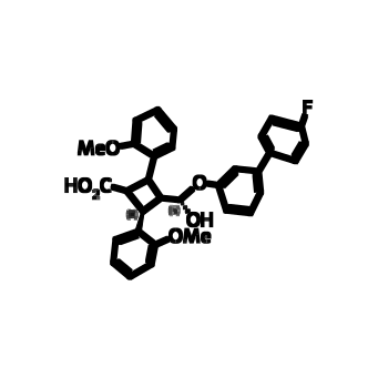 COc1ccccc1C1C(C(=O)O)[C@H](c2ccccc2OC)C1[C@@H](O)Oc1cccc(-c2ccc(F)cc2)c1